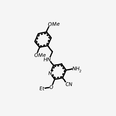 CCOc1nc(NCc2cc(OC)ccc2OC)cc(N)c1C#N